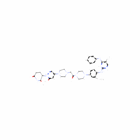 COc1cc(N2CCN(C(=O)CN3CCN(c4cnn(C5CCC(=O)NC5=O)c(=O)c4)CC3)CC2)ccc1Nc1ncc(C(F)(F)F)c(Nc2ccccc2)n1